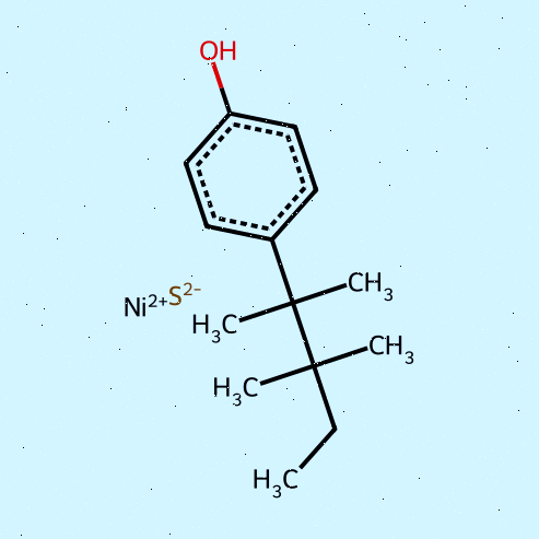 CCC(C)(C)C(C)(C)c1ccc(O)cc1.[Ni+2].[S-2]